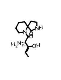 CC=C(O)[C@H](N)C(=O)N1CCCCC12CCNC2=O